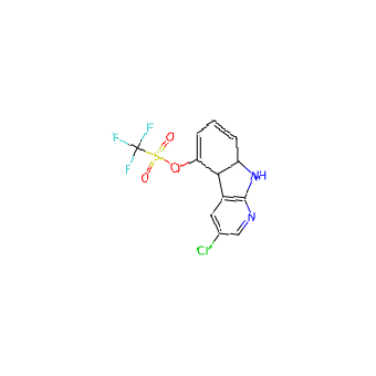 O=S(=O)(OC1=CC=CC2Nc3ncc(Cl)cc3C12)C(F)(F)F